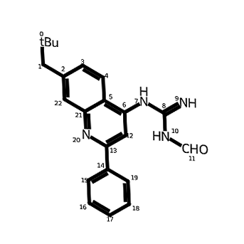 CC(C)(C)Cc1ccc2c(NC(=N)NC=O)cc(-c3ccccc3)nc2c1